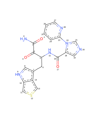 NC(=O)C(=O)C(Cc1c[nH]c2cscc12)NC(=O)c1cncn1-c1ccccn1